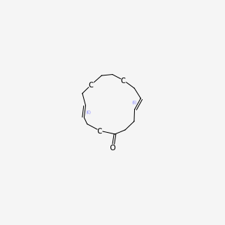 O=C1CC/C=C/CCCCCC/C=C/CC1